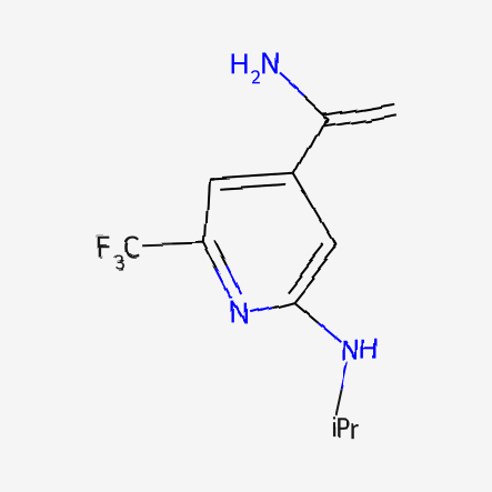 C=C(N)c1cc(NC(C)C)nc(C(F)(F)F)c1